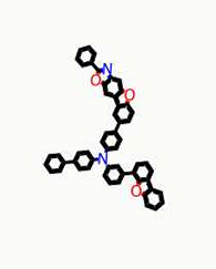 c1ccc(-c2ccc(N(c3ccc(-c4ccc5oc6cc7nc(-c8ccccc8)oc7cc6c5c4)cc3)c3cccc(-c4cccc5c4oc4ccccc45)c3)cc2)cc1